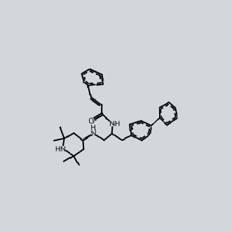 CC1(C)CC(NCC(Cc2ccc(-c3ccccc3)cc2)NC(=O)C=Cc2ccccc2)CC(C)(C)N1